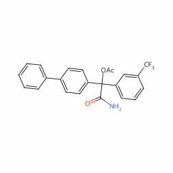 CC(=O)OC(C(N)=O)(c1ccc(-c2ccccc2)cc1)c1cccc(C(F)(F)F)c1